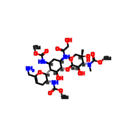 CN(C(=O)OC(C)(C)C)[C@@H]1[C@@H](O)[C@@H](O[C@H]2[C@H](NC(=O)CO)C[C@H](NC(=O)OC(C)(C)C)C([C@H]3OC(CN)=CC[C@H]3NC(=O)OC(C)(C)C)[C@@H]2O)OC[C@]1(C)O